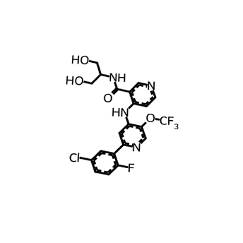 O=C(NC(CO)CO)c1cnccc1Nc1cc(-c2cc(Cl)ccc2F)ncc1OC(F)(F)F